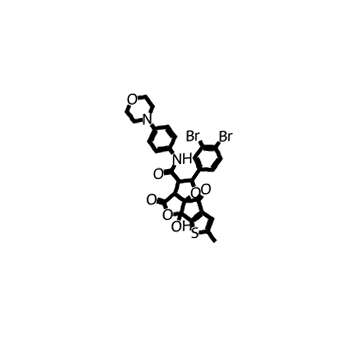 Cc1cc2c(s1)C1(O)OC(=O)C3C(C(=O)Nc4ccc(N5CCOCC5)cc4)C(c4ccc(Br)c(Br)c4)OC31C2=O